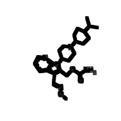 CON=Cc1c(COC(N)=O)n(C2CCN(C3CCC(C(C)C)CC3)CC2)c2ncccc12